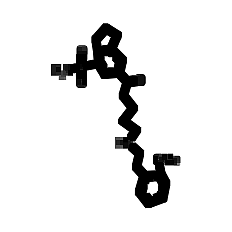 COc1ccccc1CCNCCCCC(=O)c1cc2c(c(S(N)(=O)=O)c1)CCC2